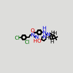 C[C@@H]1[C@@H](/N=C(/Nc2ccc3c(=O)n(CCc4ccc(Cl)cc4Cl)cnc3c2)N2CC[C@H](O)C2)C[C@@H]2C[C@H]1C2(C)C